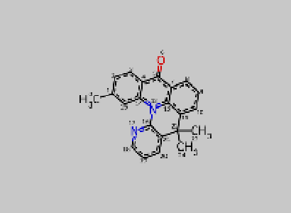 Cc1ccc2c(=O)c3cccc4c3n(c2c1)-c1ncccc1C4(C)C